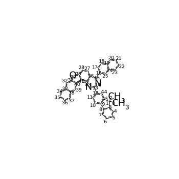 CC1(C)c2ccccc2-c2ccc(-c3nc(-c4ccc5ccccc5c4)c4ccc5oc6cc7ccccc7cc6c5c4n3)cc21